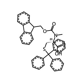 CN(C(=O)OCC1c2ccccc2-c2ccccc21)[C@@H](CSC(c1ccccc1)(c1ccccc1)c1ccccc1)C(=O)O